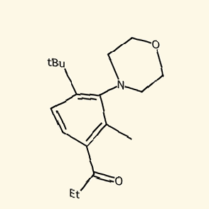 CCC(=O)c1ccc(C(C)(C)C)c(N2CCOCC2)c1C